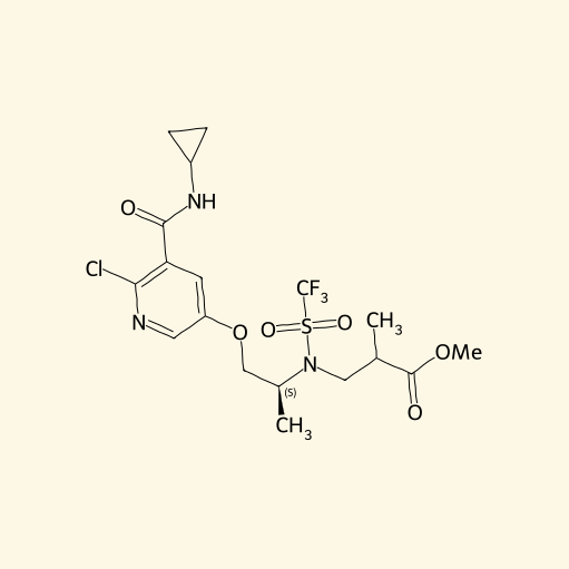 COC(=O)C(C)CN([C@@H](C)COc1cnc(Cl)c(C(=O)NC2CC2)c1)S(=O)(=O)C(F)(F)F